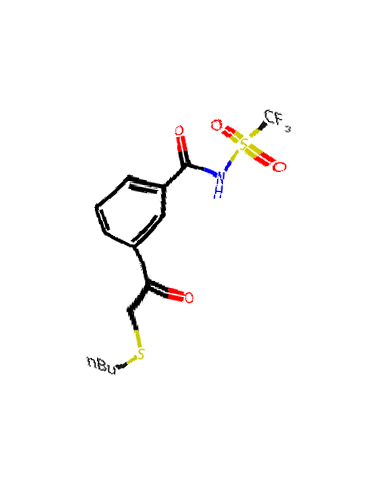 CCCCSCC(=O)c1cccc(C(=O)NS(=O)(=O)C(F)(F)F)c1